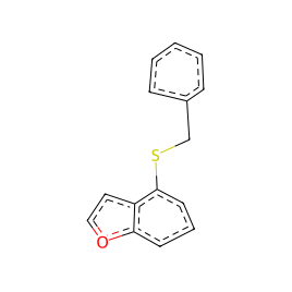 c1ccc(CSc2cccc3occc23)cc1